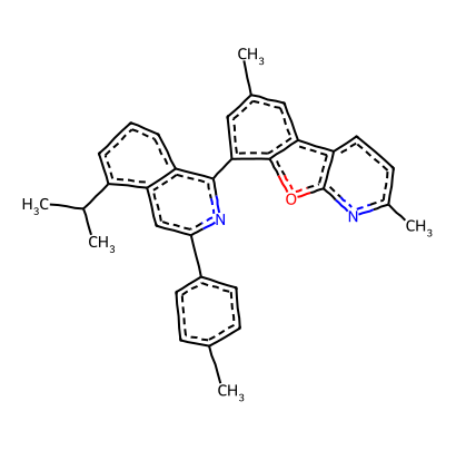 Cc1ccc(-c2cc3c(C(C)C)cccc3c(-c3cc(C)cc4c3oc3nc(C)ccc34)n2)cc1